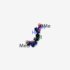 COC(=O)NCC(=O)N1CCCC1c1ncc(-c2ccc(-n3ccc4c(-c5cnc(C6CCCN6C(=O)[C@@H](NC(=O)OC)C(C)C)[nH]5)csc43)c(Cl)c2)[nH]1